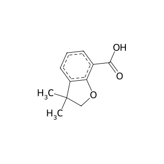 CC1(C)COc2c(C(=O)O)cccc21